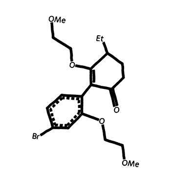 CCC1CCC(=O)C(c2ccc(Br)cc2OCCOC)=C1OCCOC